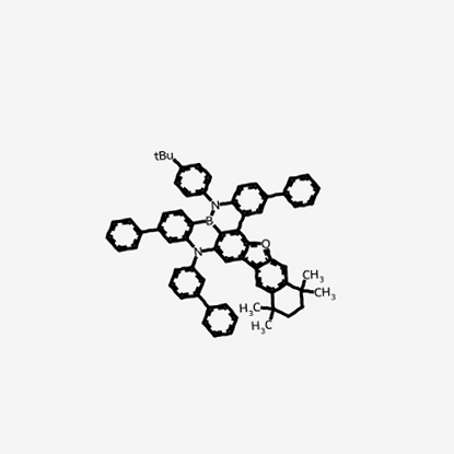 CC(C)(C)c1ccc(N2B3c4ccc(-c5ccccc5)cc4N(c4cccc(-c5ccccc5)c4)c4cc5c(oc6cc7c(cc65)C(C)(C)CCC7(C)C)c(c43)-c3cc(-c4ccccc4)ccc32)cc1